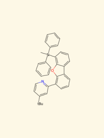 CC(C)(C)c1ccnc(-c2cccc3c2oc2c([Si](C)(c4ccccc4)c4ccccc4)cccc23)c1